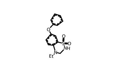 CCN1CNS(=O)(=O)c2cc(Oc3ccccc3)ccc21